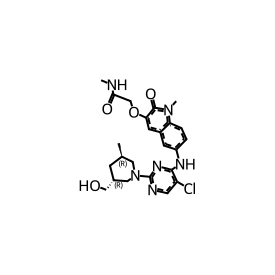 CNC(=O)COc1cc2cc(Nc3nc(N4C[C@H](C)C[C@@H](CO)C4)ncc3Cl)ccc2n(C)c1=O